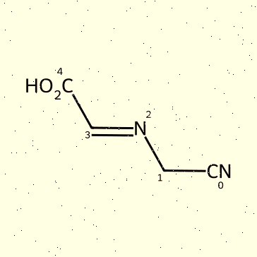 N#CCN=CC(=O)O